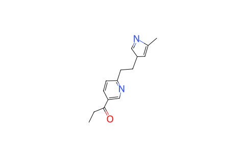 CCC(=O)c1ccc(CCC2C=NC(C)=C2)nc1